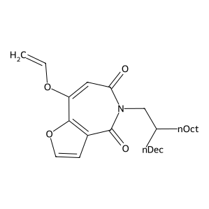 C=COc1cc(=O)n(CC(CCCCCCCC)CCCCCCCCCC)c(=O)c2ccoc12